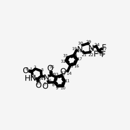 O=C1CCC(N2C(=O)c3cccc(OCc4ccc(CN5CCN(CC(F)(F)F)CC5)cc4)c3C2=O)C(=O)N1